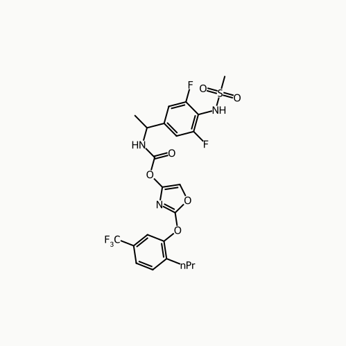 CCCc1ccc(C(F)(F)F)cc1Oc1nc(OC(=O)NC(C)c2cc(F)c(NS(C)(=O)=O)c(F)c2)co1